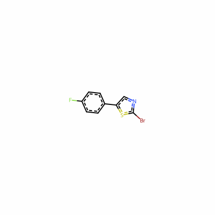 Fc1ccc(-c2cnc(Br)s2)cc1